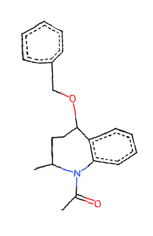 CC(=O)N1c2ccccc2C(OCc2ccccc2)CC1C